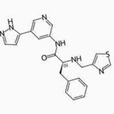 O=C(Nc1cncc(-c2ccn[nH]2)c1)[C@H](Cc1ccccc1)NCc1cscn1